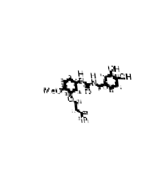 COc1ccc(NC(=O)NCc2ccc(O)c(O)c2)cc1OCCCC(C)C